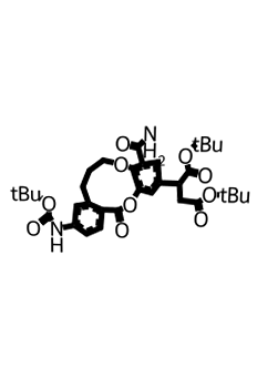 CC(C)(C)OC(=O)CC(C(=O)OC(C)(C)C)c1cc2c(c(C(N)=O)c1)OCCCc1cc(NC(=O)OC(C)(C)C)ccc1C(=O)O2